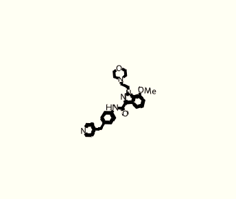 COc1cccc2c(C(=O)Nc3ccc(Cc4ccncc4)cc3)nn(CCN3CCOCC3)c12